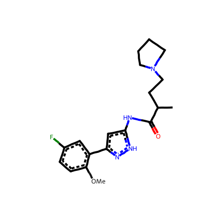 COc1ccc(F)cc1-c1cc(NC(=O)C(C)CCN2CCCC2)[nH]n1